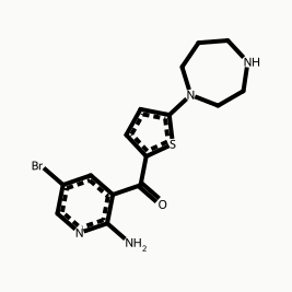 Nc1ncc(Br)cc1C(=O)c1ccc(N2CCCNCC2)s1